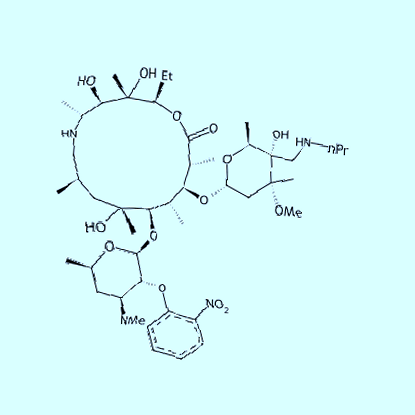 CCCNC[C@]1(O)[C@H](C)O[C@@H](O[C@H]2[C@H](C)[C@@H](O[C@@H]3O[C@H](C)C[C@H](NC)[C@H]3Oc3ccccc3[N+](=O)[O-])[C@](C)(O)C[C@@H](C)CN[C@H](C)[C@@H](O)[C@](C)(O)[C@@H](CC)OC(=O)[C@@H]2C)C[C@@]1(C)OC